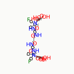 CC(C)c1c(C(=O)Nc2ccc(NC(=O)CCCCC(=O)Nc3ccc(NC(=O)c4c(-c5ccccc5)c(-c5ccc(F)cc5)n(CC[C@@H](O)C[C@@H](O)CC(=O)O)c4C(C)C)cc3)cc2)c(-c2ccccc2)c(-c2ccc(F)cc2)n1CC[C@@H](O)C[C@@H](O)CC(=O)O